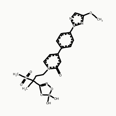 COc1cnn(-c2ccc(-c3ccn(CCC(C)(C4=NO[B-](O)(O)O4)S(C)(=O)=O)c(=O)c3)cc2)n1